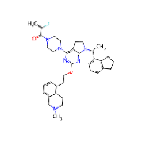 C=C(F)C(=O)N1CCN(c2nc(OCCc3cccc4c3CCN(C)C4)nc3c2CCN3C(C)c2cccc3c2CCC3)CC1